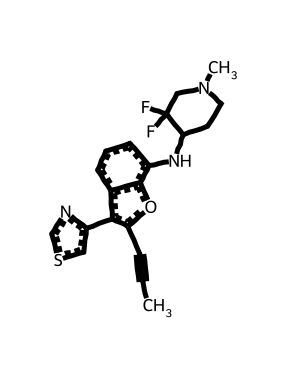 CC#Cc1oc2c(NC3CCN(C)CC3(F)F)cccc2c1-c1cscn1